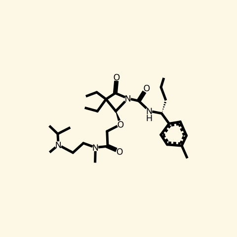 CCC[C@@H](NC(=O)N1C(=O)C(CC)(CC)[C@@H]1OCC(=O)N(C)CCN(C)C(C)C)c1ccc(C)cc1